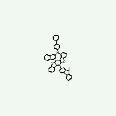 CC1(C)c2ccccc2-c2ccc(-c3c4oc5cccc(N(c6ccc(-c7ccccc7)cc6)c6ccc7ccccc7c6)c5c4cc4oc5ccccc5c34)cc21